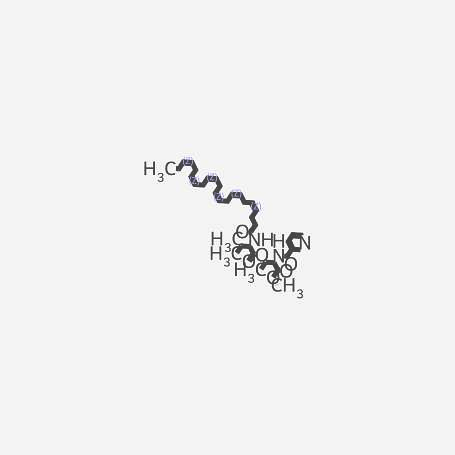 CC/C=C\C/C=C\C/C=C\C/C=C\C/C=C\C/C=C\CCC(=O)NC(C(=O)OC(C)C(NC(=O)c1cccnc1)C(=O)OC)C(C)C